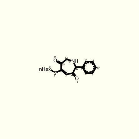 CCCCCCSC1=CC(=O)C(c2ccccc2)NCC1=O